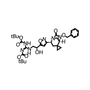 CC(C)(C)OC(=O)/N=C(\NC[C@H](O)c1cc([C@@H]2CC3(CC3)[C@H]3CN2C(=O)N3OCc2ccccc2)no1)NC(=O)OC(C)(C)C